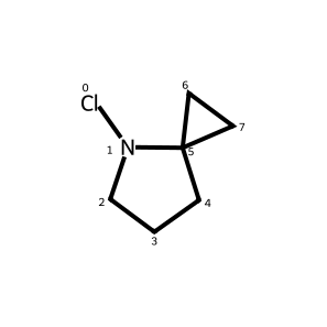 ClN1CCCC12CC2